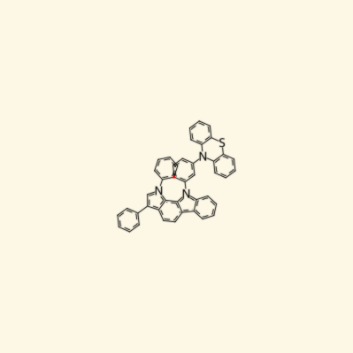 c1ccc(-c2cn(-c3ccccc3)c3c2ccc2c4ccccc4n(-c4cccc(N5c6ccccc6Sc6ccccc65)c4)c23)cc1